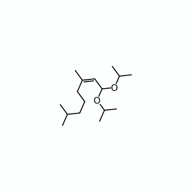 CC(=CC(OC(C)C)OC(C)C)CCCC(C)C